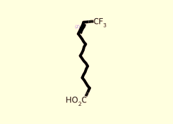 O=C(O)CCCCC/C=C\C(F)(F)F